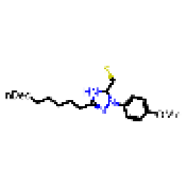 CCCCCCCCCCCCCCCC1=NN(c2ccc(OC)cc2)C(C=S)N1